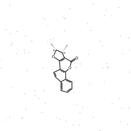 C[C@@H]1c2c(c3ccc4ccccc4c3oc2=O)O[C@@H]1C